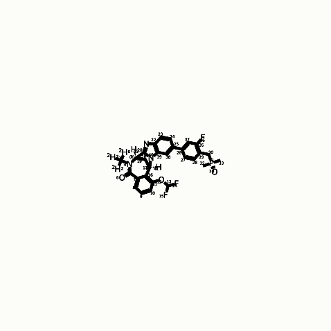 [2H]C([2H])([2H])N1C(=O)c2cccc(OC(F)F)c2[C@H]2C[C@@H]1c1nc3ccc(-c4ccc(CP(C)(C)=O)c(F)c4)cc3n12